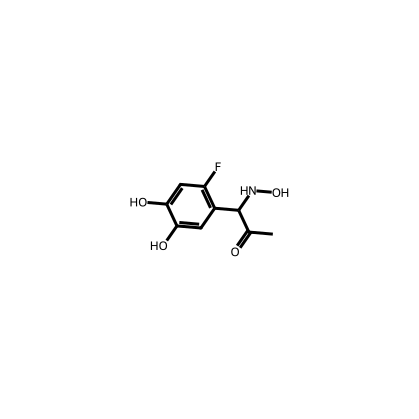 CC(=O)C(NO)c1cc(O)c(O)cc1F